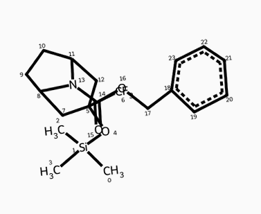 C[Si](C)(C)OC1(C(F)(F)F)CC2CCC(C1)N2C(=O)OCc1ccccc1